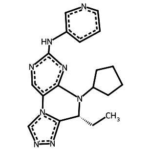 CC[C@@H]1c2nncn2-c2cnc(Nc3cccnc3)nc2N1C1CCCC1